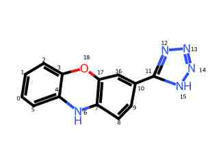 c1ccc2c(c1)Nc1ccc(-c3nnn[nH]3)cc1O2